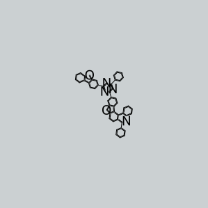 c1ccc(-c2nc(-c3ccc4c(c3)oc3ccccc34)nc(-c3ccc4c(c3)oc3ccc5c(-c6ccccc6)nc6ccccc6c5c34)n2)cc1